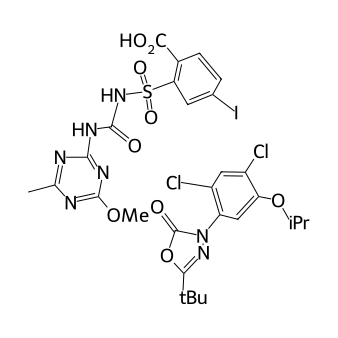 CC(C)Oc1cc(-n2nc(C(C)(C)C)oc2=O)c(Cl)cc1Cl.COc1nc(C)nc(NC(=O)NS(=O)(=O)c2cc(I)ccc2C(=O)O)n1